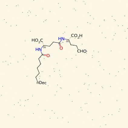 CCCCCCCCCCCCCCCC(=O)N[C@@H](CCC(=O)N[C@@H](CC[C]=O)C(=O)O)C(=O)O